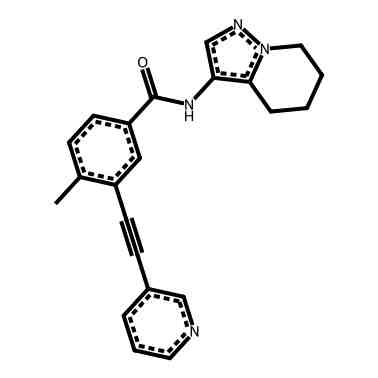 Cc1ccc(C(=O)Nc2cnn3c2CCCC3)cc1C#Cc1cccnc1